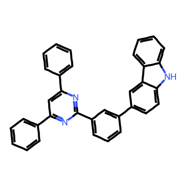 c1ccc(-c2cc(-c3ccccc3)nc(-c3cccc(-c4ccc5[nH]c6ccccc6c5c4)c3)n2)cc1